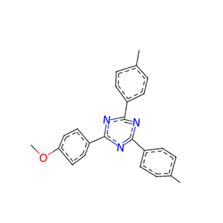 COc1ccc(-c2nc(-c3ccc(C)cc3)nc(-c3ccc(C)cc3)n2)cc1